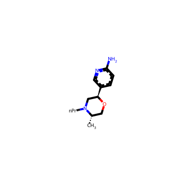 CCCN1C[C@@H](c2ccc(N)nc2)OC[C@@H]1C